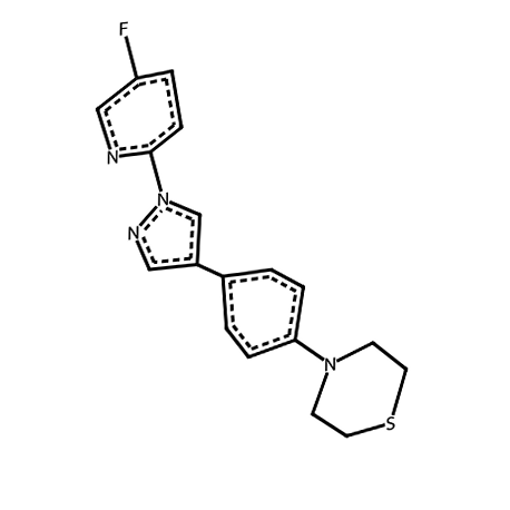 Fc1ccc(-n2cc(-c3ccc(N4CCSCC4)cc3)cn2)nc1